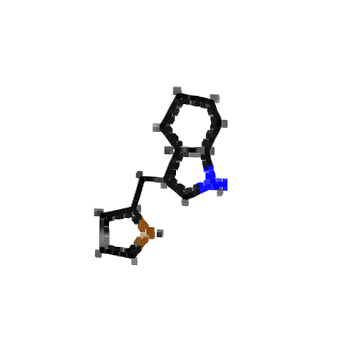 c1csc(Cc2c[nH]c3ccccc23)c1